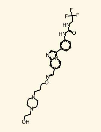 O=C(NCC(F)(F)F)Nc1cccc(-c2cnc3cc(C=NOCCCN4CCN(CCO)CC4)ccn23)c1